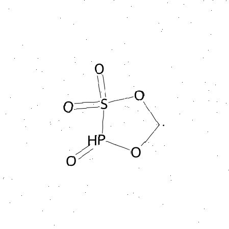 O=[PH]1O[CH]OS1(=O)=O